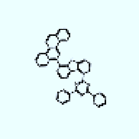 c1ccc(-c2nc(-c3ccccc3)nc(-c3cccc4oc5c(-c6cc7c8ccccc8ccc7c7ccccc67)nccc5c34)n2)cc1